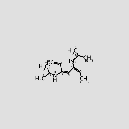 C=C/C(=C\C(=C/C)NC(C)C)NC(C)C